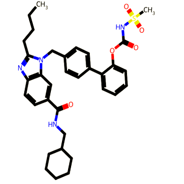 CCCCc1nc2ccc(C(=O)NCC3CCCCC3)cc2n1Cc1ccc(-c2ccccc2OC(=O)NS(C)(=O)=O)cc1